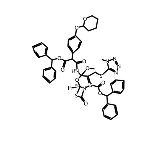 COC1(NC(=O)C(C(=O)OC(c2ccccc2)c2ccccc2)c2ccc(OC3CCCCO3)cc2)O[C@H]2SC(=O)N2S(C(=O)OC(c2ccccc2)c2ccccc2)=C1CSc1nnnn1C